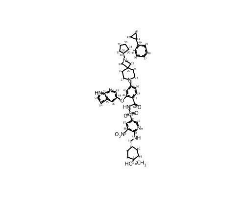 C[C@]1(O)CC[C@H](CNc2ncc(S(=O)(=O)NC(=O)c3ccc(N4CCC5(CC4)CN([C@H]4CCC[C@@H]4c4ccccc4C4CC4)C5)cc3Oc3cnc4[nH]ccc4c3)cc2[N+](=O)[O-])CC1